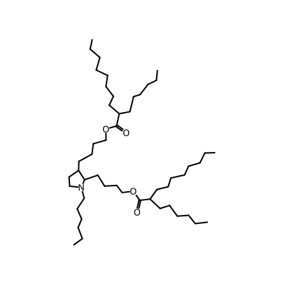 CCCCCCCCC(CCCCCC)C(=O)OCCCCC1CCN(CCCCCC)C1CCCCOC(=O)C(CCCCCC)CCCCCCCC